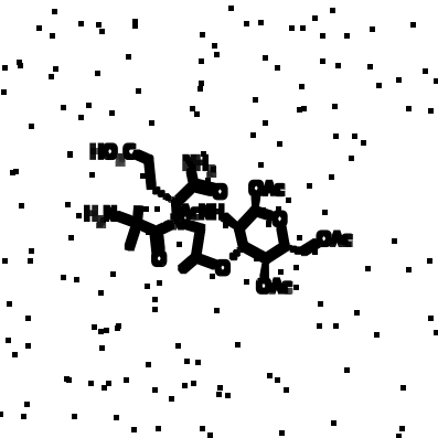 CC(=O)N[C@H]1[C@@H](OC(C)=O)O[C@H](COC(C)=O)[C@@H](OC(C)=O)[C@@H]1OC(C)CN(C(=O)C(C)(C)N)[C@H](CCC(=O)O)C(N)=O